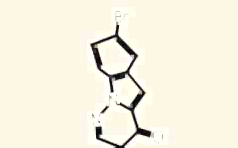 O=C1CC=Nn2c1cc1cc(Br)ccc12